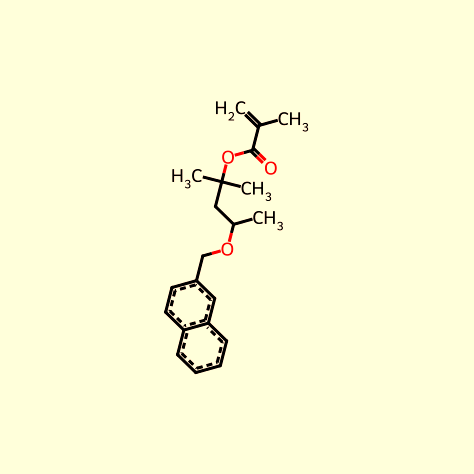 C=C(C)C(=O)OC(C)(C)CC(C)OCc1ccc2ccccc2c1